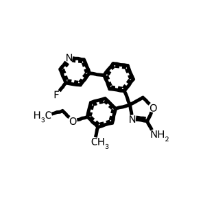 CCOc1ccc(C2(c3cccc(-c4cncc(F)c4)c3)COC(N)=N2)cc1C